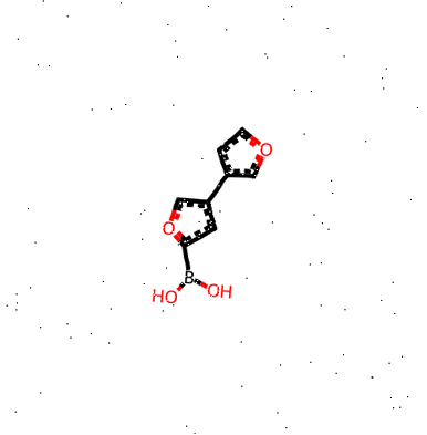 OB(O)c1cc(-c2ccoc2)co1